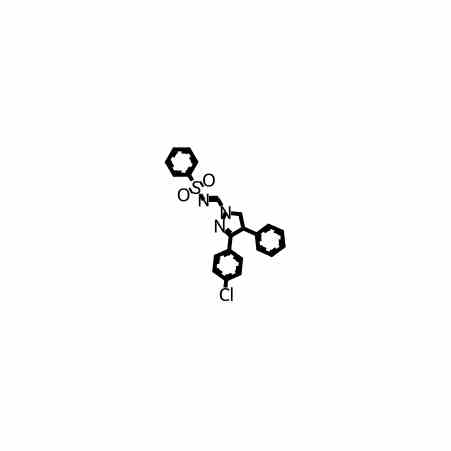 O=S(=O)(/N=C/N1CC(c2ccccc2)C(c2ccc(Cl)cc2)=N1)c1ccccc1